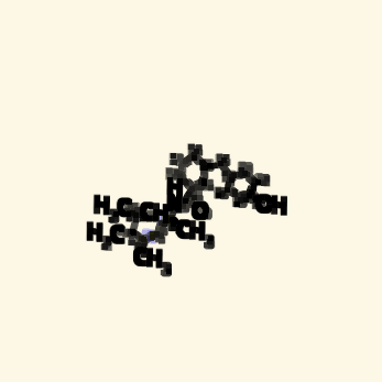 C=C(/C(C)=C\C=C(/C)NC(=O)c1cccc(Cc2ccc(O)cc2)c1)C(C)C